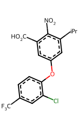 CC(C)c1cc(Oc2ccc(C(F)(F)F)cc2Cl)cc(C(=O)O)c1[N+](=O)[O-]